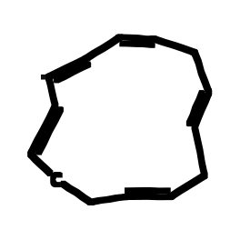 [C]1=C/C=C\C/C=C/C/C=C/CC/C=C/1